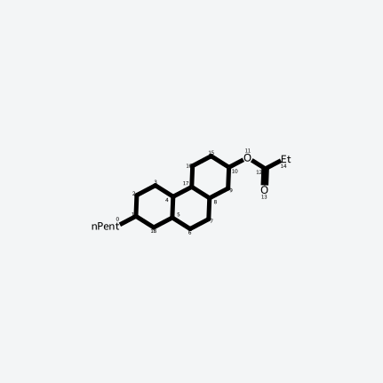 CCCCCC1CCC2C(CCC3CC(OC(=O)CC)CCC32)C1